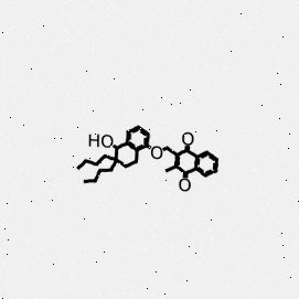 CCCCC1(CCCC)CCc2c(OCC3=C(C)C(=O)c4ccccc4C3=O)cccc2C1O